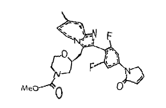 COC(=O)N1CCO[C@@H](Cc2c(-c3c(F)cc(N4CC=CC4=O)cc3F)nc3cc(C)ccn23)C1